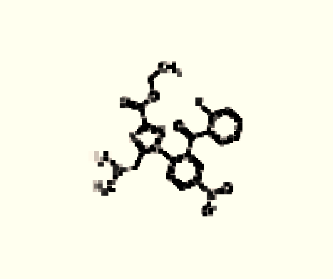 CCOC(=O)c1nc(CN(C)C)n(-c2ccc([N+](=O)[O-])cc2C(=O)c2ccccc2F)n1